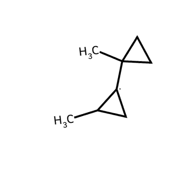 CC1C[C]1C1(C)CC1